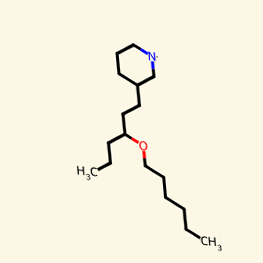 CCCCCCOC(CCC)CCC1CCC[N]C1